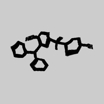 CC(C)(c1ccc(O)cc1)c1ccc(O)c(C(c2ccccc2)c2ccccc2)c1